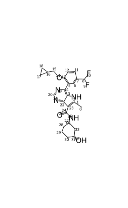 Cc1[nH]c2c(-c3cc(C(F)F)ccc3OCC3CC3)ncnc2c1C(=O)N[C@H]1CCC[C@@H](O)C1